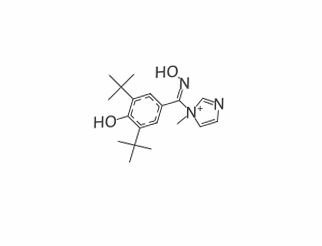 CC(C)(C)c1cc(C(=NO)[N+]2(C)C=CN=C2)cc(C(C)(C)C)c1O